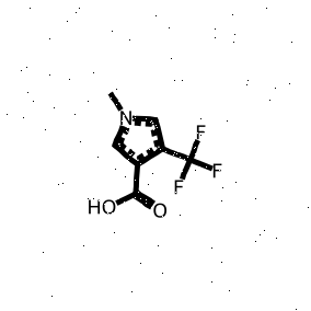 Cn1cc(C(=O)O)c(C(F)(F)F)c1